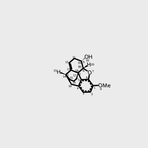 COc1ccc2c3c1O[C@H]1[C@@H](O)CC=C4[C@H](CCC[C@]431)C2